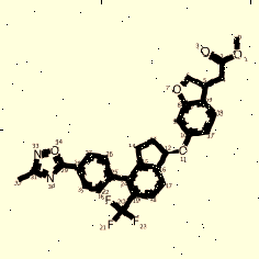 COC(=O)CC1COc2cc(O[C@@H]3CCc4c3ccc(C(F)(F)F)c4-c3ccc(-c4nc(C)no4)cc3)ccc21